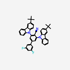 CC(C)(C)c1ccc2c(c1)c1ccccc1n2-c1cc(-c2cc(F)cc(F)c2)cc(-n2c3ccccc3c3cc(C(C)(C)C)ccc32)c1C#N